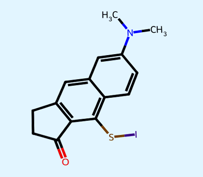 CN(C)c1ccc2c(SI)c3c(cc2c1)CCC3=O